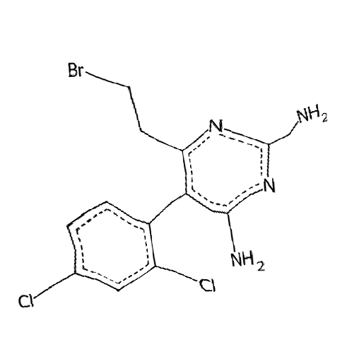 Nc1nc(N)c(-c2ccc(Cl)cc2Cl)c(CCBr)n1